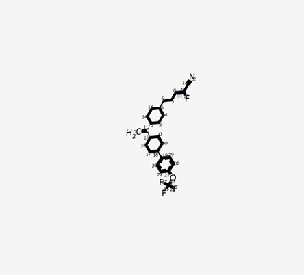 C=C([C@H]1CC[C@H](CC/C=C(\F)C#N)CC1)[C@H]1CC[C@H](c2ccc(OC(F)(F)F)cc2)CC1